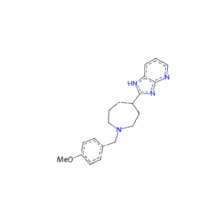 COc1ccc(CN2CCCC(c3nc4ncccc4[nH]3)CC2)cc1